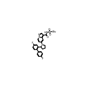 CC(C)(C)S(=O)(=O)NC(=O)c1cnn2ccc(N3CCCC3c3cc(F)ccc3-c3ccc(F)cc3)cc12